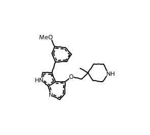 COc1cccc(-c2c[nH]c3nccc(OCC4(C)CCNCC4)c23)c1